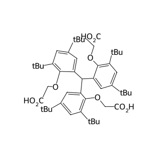 CC(C)(C)c1cc(C(c2cc(C(C)(C)C)cc(C(C)(C)C)c2OCC(=O)O)c2cc(C(C)(C)C)cc(C(C)(C)C)c2OCC(=O)O)c(OCC(=O)O)c(C(C)(C)C)c1